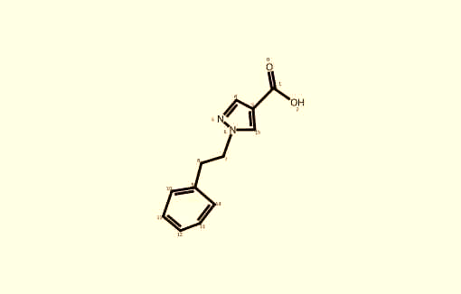 O=C(O)c1cnn(CCc2ccccc2)c1